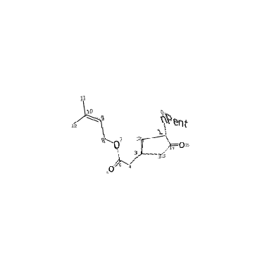 CCCCCC1CC(CC(=O)OCC=C(C)C)CC1=O